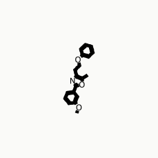 COc1cccc(-c2nc(CCOc3ccccc3)c(C)o2)c1